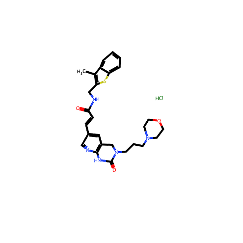 Cc1c(CNC(=O)C=Cc2cnc3c(c2)CN(CCCN2CCOCC2)C(=O)N3)sc2ccccc12.Cl